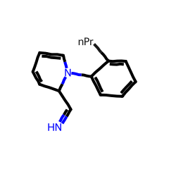 CCCc1ccccc1N1C=CC=CC1C=N